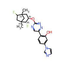 C[C@]12C[C@@H](Oc3ncc(-c4ccc(-n5ccnc5)cc4O)nn3)[C@H](F)[C@](C)(CC1F)C2